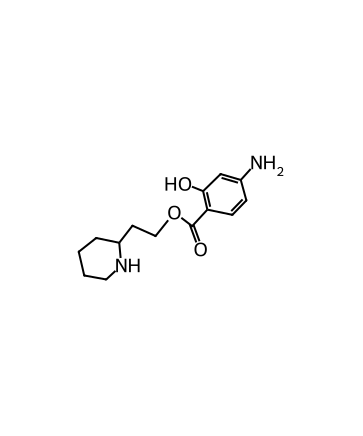 Nc1ccc(C(=O)OCCC2CCCCN2)c(O)c1